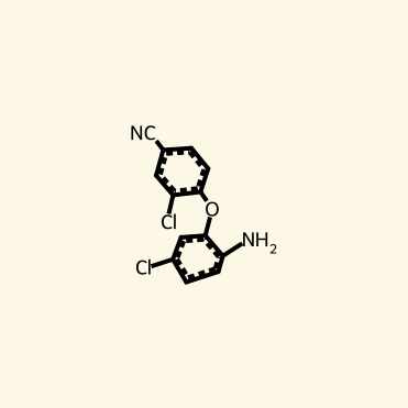 N#Cc1ccc(Oc2cc(Cl)ccc2N)c(Cl)c1